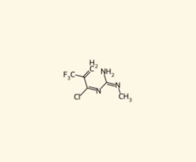 C=C(/C(Cl)=N\C(N)=N/C)C(F)(F)F